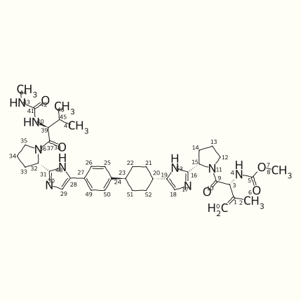 C=C(C)[C@@H](NC(=O)OC)C(=O)N1CCC[C@H]1c1ncc([C@H]2CC[C@H](c3ccc(-c4cnc([C@@H]5CCCN5C(=O)[C@@H](NC(=O)NC)C(C)C)[nH]4)cc3)CC2)[nH]1